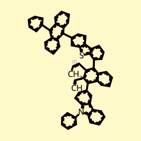 C=Cc1c(/C=C\C)c(-c2cccc3c2sc2cc(-c4c5ccccc5c(-c5ccccc5)c5ccccc45)ccc23)c2ccccc2c1-c1ccc2c(c1)c1ccccc1n2-c1ccccc1